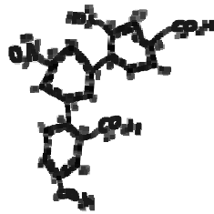 O=C(O)c1ccc(-c2cc(-c3ccc(C(=O)O)cc3C(=O)O)cc([N+](=O)[O-])c2)c(C(=O)O)c1